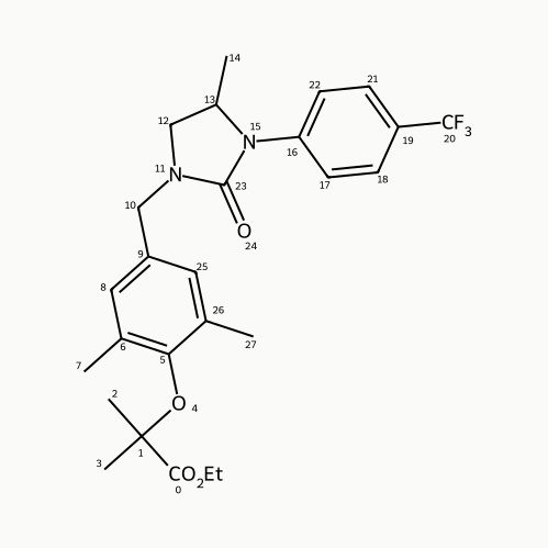 CCOC(=O)C(C)(C)Oc1c(C)cc(CN2CC(C)N(c3ccc(C(F)(F)F)cc3)C2=O)cc1C